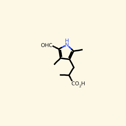 Cc1[nH]c(C=O)c(C)c1CC(C)C(=O)O